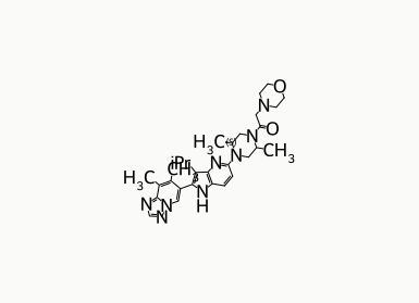 Cc1c(-c2[nH]c3ccc(N4CC(C)N(C(=O)CN5CCOCC5)C[C@@H]4C)nc3c2C(C)C)cn2ncnc2c1C